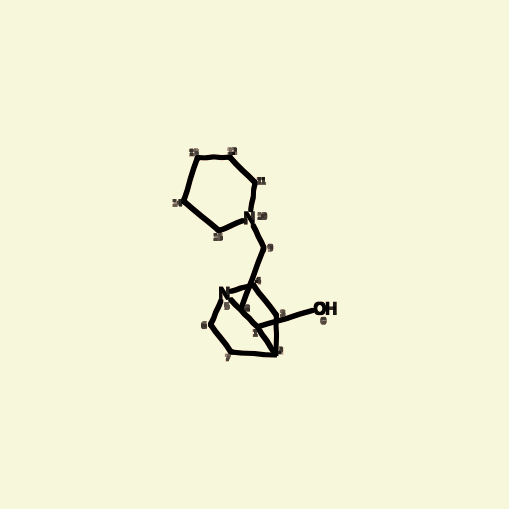 OC1C2CCN(CC2)C1CN1CCCCC1